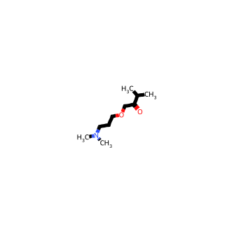 CC(C)C(=O)COCCCN(C)C